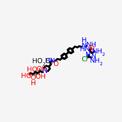 N=C(NCCCCc1ccc(-c2ccc(CCC(=O)N[C@H](CC3CCN(C[C@H](O)[C@@H](O)[C@H](O)[C@H](O)CO)CC3)C(=O)O)cc2)cc1)NC(=O)c1nc(Cl)c(N)nc1N